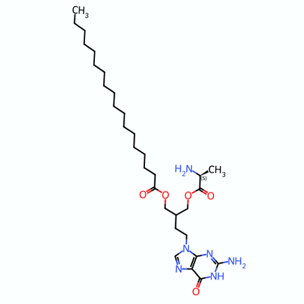 CCCCCCCCCCCCCCCCCC(=O)OCC(CCn1cnc2c(=O)[nH]c(N)nc21)COC(=O)[C@H](C)N